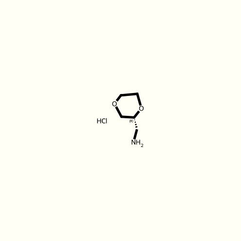 Cl.NC[C@@H]1COCCO1